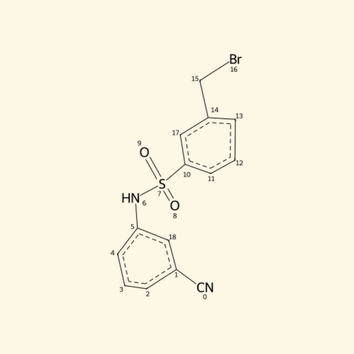 N#Cc1cccc(NS(=O)(=O)c2cccc(CBr)c2)c1